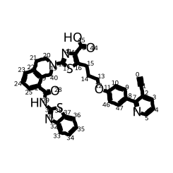 C#Cc1cccnc1-c1ccc(OCCCc2sc(N3CCc4cccc(C(=O)Nc5nc6ccccc6s5)c4C3)nc2C(=O)O)cc1